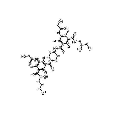 O=C(CO)Nc1c(I)c(C(=O)NCC(O)CO)c(I)c(C(=O)NC2CCN(C(=O)c3c(I)c(NC(=O)CO)c(I)c(C(=O)N(O)CCCO)c3I)CC2)c1I